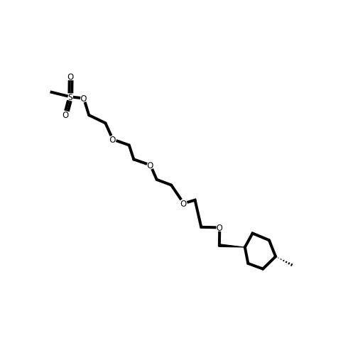 CS(=O)(=O)OCCOCCOCCOCCOC[C@H]1CC[C@H](C)CC1